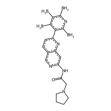 Bc1nc(B)c(-c2ccc3cnc(NC(=O)CN4CCCC4)cc3n2)c(B)c1B